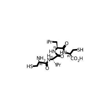 CC(C)C[C@H](NC(=O)[C@@H](NC(=O)[C@@H](N)CS)C(C)C)C(=O)N[C@@H](CS)C(=O)O